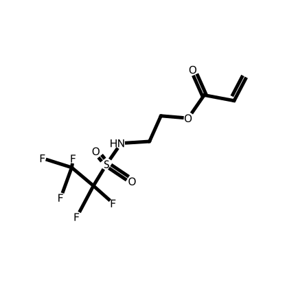 C=CC(=O)OCCNS(=O)(=O)C(F)(F)C(F)(F)F